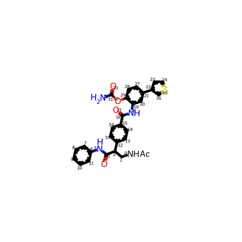 CC(=O)NCC(C(=O)Nc1ccccc1)c1ccc(C(=O)Nc2cc(-c3ccsc3)ccc2OC(N)=O)cc1